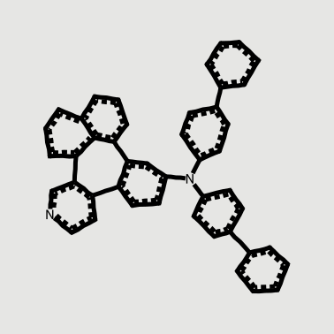 c1ccc(-c2ccc(N(c3ccc(-c4ccccc4)cc3)c3ccc4c(c3)-c3cccc5cccc(c35)-c3cnccc3-4)cc2)cc1